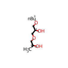 CCCCOCC(O)COCC(C)O